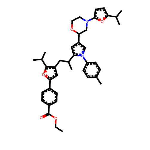 CCOC(=O)c1ccc(-c2cc(CC(C)c3cc(C4CN(c5ccc(C(C)C)o5)CCO4)cn3-c3ccc(C)cc3)c(C(C)C)o2)cc1